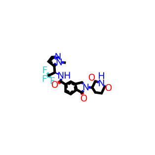 Cn1nccc1[C@@H](NC(=O)c1ccc2c(c1)CN(C1CCC(=O)NC1=O)C2=O)C(F)(F)F